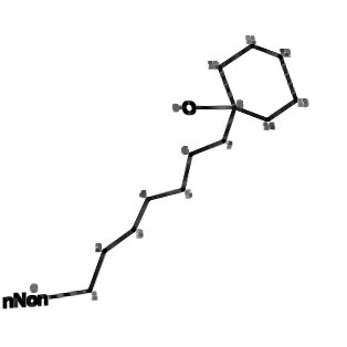 CCCCCCCCCCCCCCCCC1([O])CCCCC1